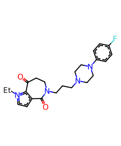 CCn1ccc2c1C(=O)CCN(CCCN1CCN(c3ccc(F)cc3)CC1)C2=O